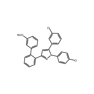 COc1cccc(-c2ccccc2-c2cc(-c3cccc(Cl)c3)n(-c3ccc(Cl)cc3)n2)c1